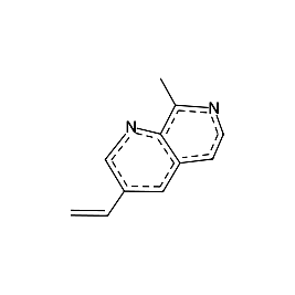 C=Cc1cnc2c(C)nccc2c1